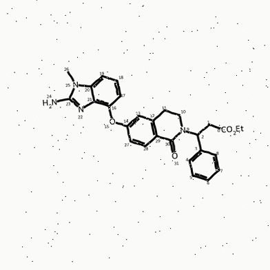 CCOC(=O)CC(c1ccccc1)N1CCc2cc(Oc3cccc4c3nc(N)n4C)ccc2C1=O